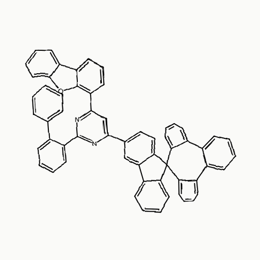 c1ccc(-c2ccccc2-c2nc(-c3ccc4c(c3)-c3ccccc3C43c4ccccc4-c4ccccc4-c4ccccc43)cc(-c3cccc4c3oc3ccccc34)n2)cc1